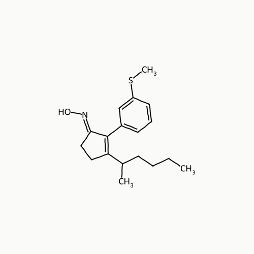 CCCCC(C)C1=C(c2cccc(SC)c2)/C(=N/O)CC1